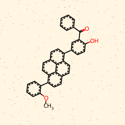 COc1ccccc1-c1ccc2ccc3c(-c4ccc(O)c(C(=O)c5ccccc5)c4)ccc4ccc1c2c43